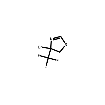 FC(F)(F)C1(Br)CS[C]=N1